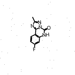 Cc1nc2c3ccc(F)cc3[nH]c(=O)n2n1